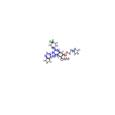 COc1cc2c(Nc3ncnc4c3CCC4)nc(N3CCC(F)(F)CC3)nc2cc1OCCCN1CCCC1